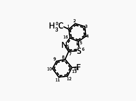 Cc1cccc2sc(-c3ccccc3F)nc12